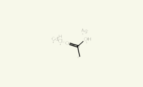 CC(=O)O.Cl.[Ag].[Gd]